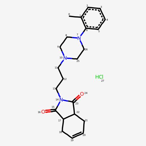 Cc1ccccc1N1CCN(CCCN2C(=O)C3CC=CCC3C2=O)CC1.Cl